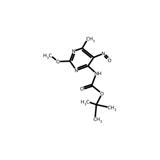 COc1nc(C)c(N=O)c(NC(=O)OC(C)(C)C)n1